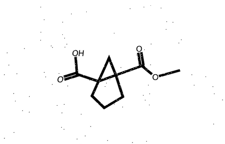 COC(=O)C12CCCC1(C(=O)O)C2